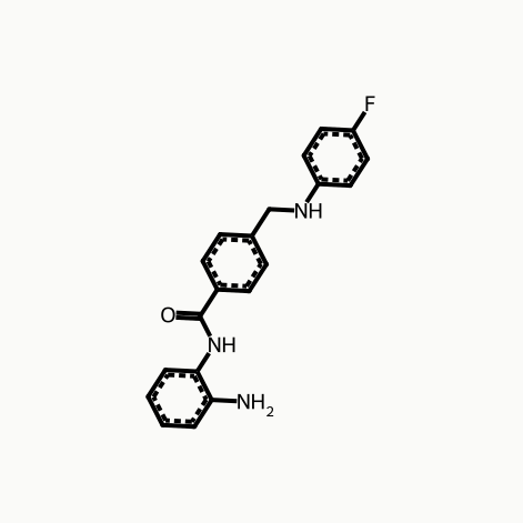 Nc1ccccc1NC(=O)c1ccc(CNc2ccc(F)cc2)cc1